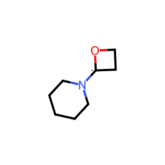 C1CCN([C]2CCO2)CC1